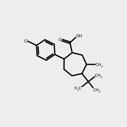 CC1CC(C(=O)O)C(c2ccc(Cl)cc2)CCC1C(C)(C)C